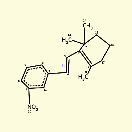 CC1=C(/C=C/c2cccc([N+](=O)[O-])c2)C(C)(C)CCC1